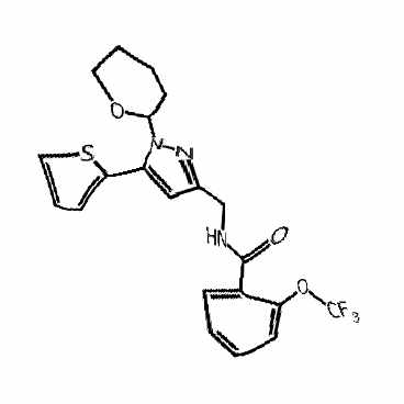 O=C(NCc1cc(-c2cccs2)n(C2CCCCO2)n1)c1ccccc1OC(F)(F)F